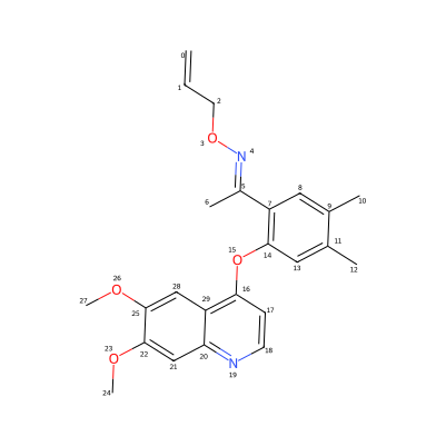 C=CCO/N=C(\C)c1cc(C)c(C)cc1Oc1ccnc2cc(OC)c(OC)cc12